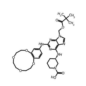 CC(C)(C)C(=O)OCn1cnc2c(N[C@@H]3CCCN(C(=O)O)C3)nc(Nc3ccc4c(c3)OCCOCCOCCO4)nc21